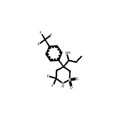 CCC(O)C1(c2ccc(C(F)(F)F)cc2)CC(F)(F)NS(=O)(=O)C1